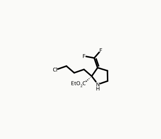 CCOC(=O)[C@@]1(CCCCl)NCCC1=C(F)F